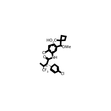 COC(c1ccc(Cl)c(NC(=O)[C@H](C2C=CC(Cl)=CC2)[C@@H](C)C(F)(F)F)c1)C1(C(=O)O)CCC1